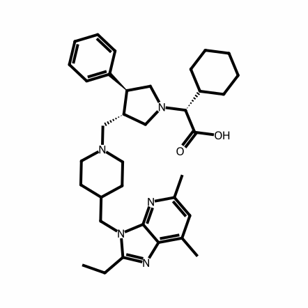 CCc1nc2c(C)cc(C)nc2n1CC1CCN(C[C@H]2CN([C@@H](C(=O)O)C3CCCCC3)C[C@@H]2c2ccccc2)CC1